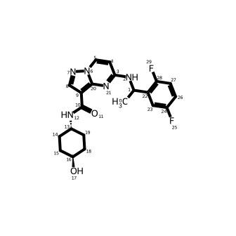 CC(Nc1ccn2ncc(C(=O)N[C@H]3CC[C@H](O)CC3)c2n1)c1cc(F)ccc1F